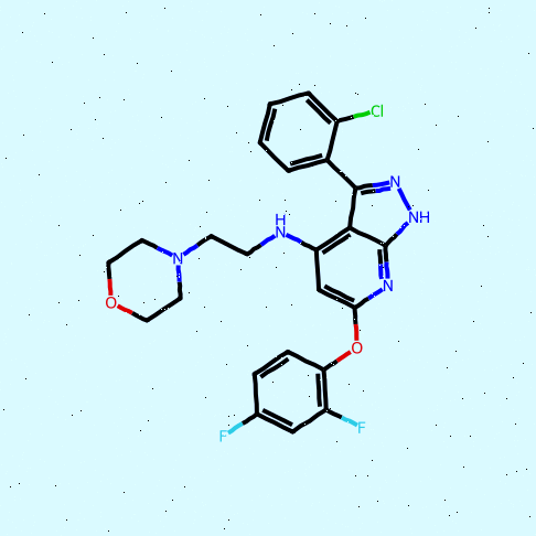 Fc1ccc(Oc2cc(NCCN3CCOCC3)c3c(-c4ccccc4Cl)n[nH]c3n2)c(F)c1